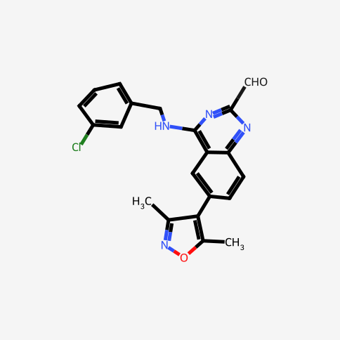 Cc1noc(C)c1-c1ccc2nc(C=O)nc(NCc3cccc(Cl)c3)c2c1